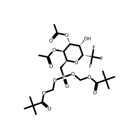 CC(=O)O[C@@H]1[C@H](O)[C@H](C(F)(F)F)O[C@@H](CP(=O)(OCOC(=O)C(C)(C)C)OCOC(=O)C(C)(C)C)[C@H]1OC(C)=O